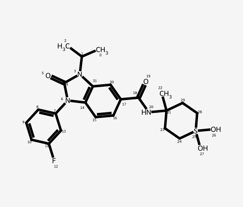 CC(C)n1c(=O)n(-c2cccc(F)c2)c2ccc(C(=O)NC3(C)CCS(O)(O)CC3)cc21